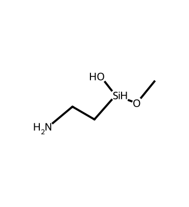 CO[SiH](O)CCN